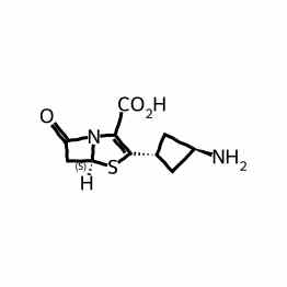 N[C@H]1C[C@H](C2=C(C(=O)O)N3C(=O)C[C@@H]3S2)C1